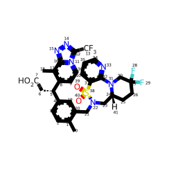 Cc1ccc([C@H](CC(=O)O)c2ccn3c(C(F)(F)F)nnc3c2C)cc1CN1C[C@H]2CCC(F)(F)CN2c2ncccc2S1(=O)=O